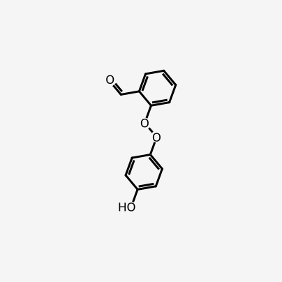 O=Cc1ccccc1OOc1ccc(O)cc1